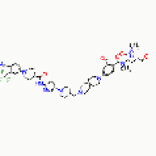 CNC(=O)C(CCC=O)N(C)C(=O)c1ccc(N2CCC3(CCN(CC4CCN(c5ccc(NC(=O)C6CCN(c7ccc(C#N)c(C(F)(F)F)c7)CC6)nc5)CC4)CC3)CC2)cc1C=O